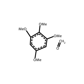 C=O.COc1cc(OC)c(OC)c(OC)c1